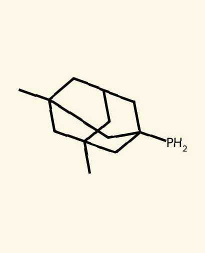 CC12CC3CC(C)(C1)CC(P)(C3)C2